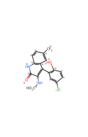 O=C(O)Nc1c(-c2cc(Cl)ccc2O)c2cc(C(F)(F)F)ccc2[nH]c1=O